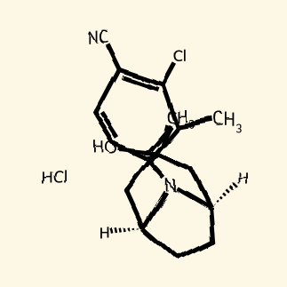 Cc1c(N2[C@@H]3CC[C@H]2C[C@](C)(O)C3)ccc(C#N)c1Cl.Cl